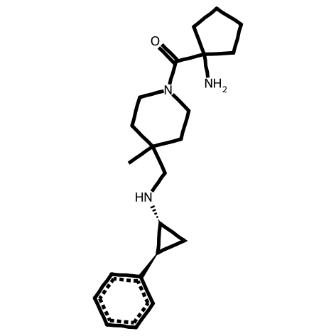 CC1(CN[C@@H]2C[C@H]2c2ccccc2)CCN(C(=O)C2(N)CCCC2)CC1